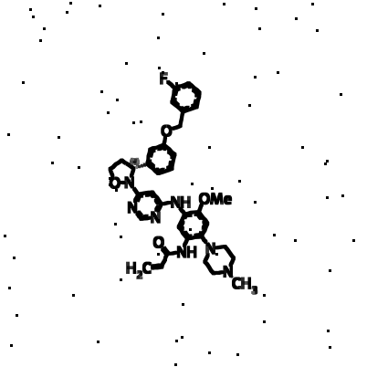 C=CC(=O)Nc1cc(Nc2cc(N3OCC[C@@H]3c3cccc(OCc4cccc(F)c4)c3)ncn2)c(OC)cc1N1CCN(C)CC1